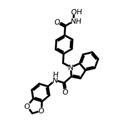 O=C(NO)c1ccc(Cn2c(C(=O)Nc3ccc4c(c3)OCO4)cc3ccccc32)cc1